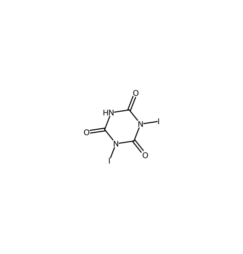 O=c1[nH]c(=O)n(I)c(=O)n1I